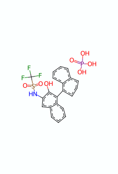 O=P(O)(O)O.O=S(=O)(Nc1cc2ccccc2c(-c2cccc3ccccc23)c1O)C(F)(F)F